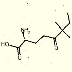 CCC(C)(C)C(=O)CC[C@H](N)C(=O)O